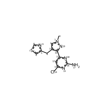 Cn1cc(Cc2cscn2)c(-c2cc(Cl)nc(N)n2)n1